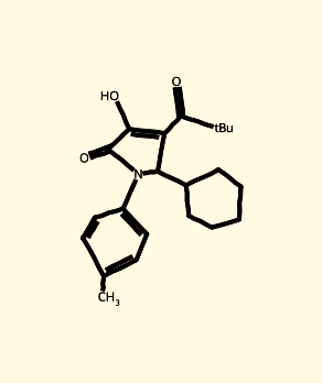 Cc1ccc(N2C(=O)C(O)=C(C(=O)C(C)(C)C)C2C2CCCCC2)cc1